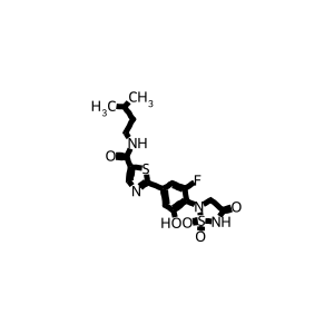 CC(C)CCNC(=O)c1cnc(-c2cc(O)c(N3CC(=O)NS3(=O)=O)c(F)c2)s1